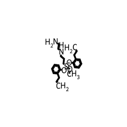 C=CCc1ccccc1O[Si](CCCNCCN)(OC)Oc1ccccc1CC=C